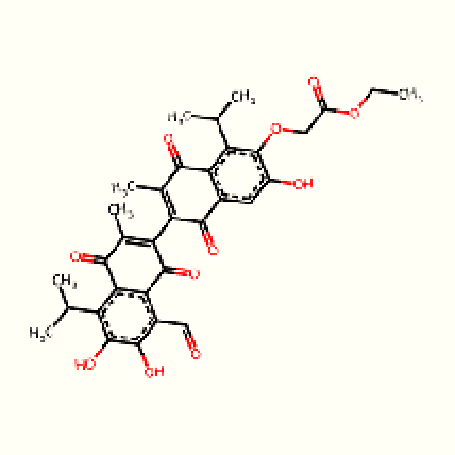 CCOC(=O)COc1c(O)cc2c(c1C(C)C)C(=O)C(C)=C(C1=C(C)C(=O)c3c(c(C=O)c(O)c(O)c3C(C)C)C1=O)C2=O